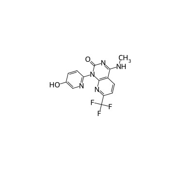 CNc1nc(=O)n(-c2ccc(O)cn2)c2nc(C(F)(F)F)ccc12